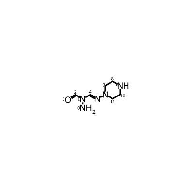 NN(C=O)C=NN1CCNCC1